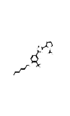 CCCC=CCOc1ccc(-c2noc(C3CCCN3C(=O)O)n2)cc1C(F)(F)F